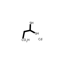 O=C(O)CC(S)S.[Cd]